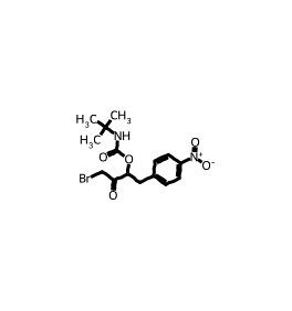 CC(C)(C)NC(=O)OC(Cc1ccc([N+](=O)[O-])cc1)C(=O)CBr